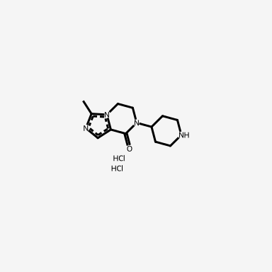 Cc1ncc2n1CCN(C1CCNCC1)C2=O.Cl.Cl